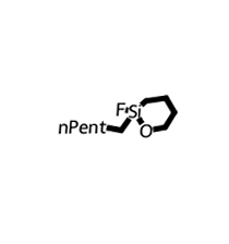 CCCCCC[Si]1(F)CCCCO1